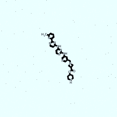 Cc1cccc(-c2nccc(Nc3ccnc(Nc4cncc(CN5CC(C(=O)OC6CCNCC6)C5)c4)n3)n2)n1